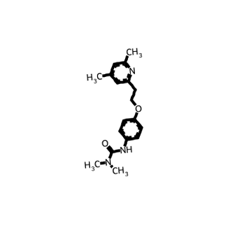 Cc1cc(C)nc(CCOc2ccc(NC(=O)N(C)C)cc2)c1